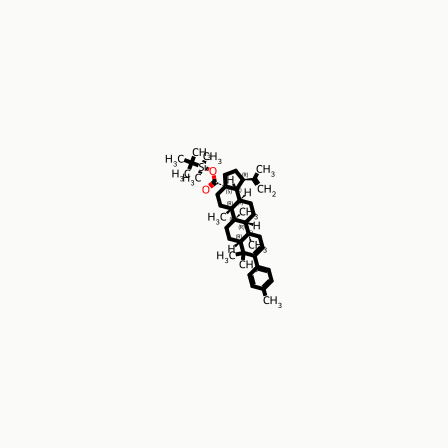 C=C(C)[C@@H]1CC[C@]2(C(=O)O[Si](C)(C)C(C)(C)C)CC[C@]3(C)[C@H](CC[C@@H]4[C@@]5(C)CC=C(c6ccc(C)cc6)C(C)(C)[C@@H]5CC[C@]43C)[C@@H]12